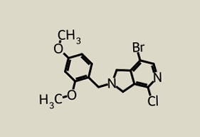 COc1ccc(CN2Cc3c(Br)cnc(Cl)c3C2)c(OC)c1